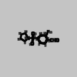 O=Cc1ccc(S(=O)(=O)N2CCCC2)cc1F